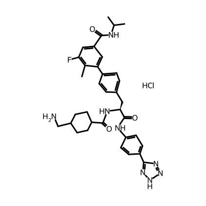 Cc1c(F)cc(C(=O)NC(C)C)cc1-c1ccc(C[C@H](NC(=O)C2CCC(CN)CC2)C(=O)Nc2ccc(-c3nn[nH]n3)cc2)cc1.Cl